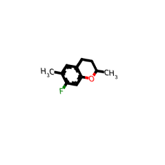 Cc1cc2c(cc1F)OC(C)CC2